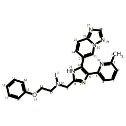 Cc1cccc(-c2nc(CN(I)CCOc3ccccc3)[nH]c2-c2ccc3ncnn3c2)n1